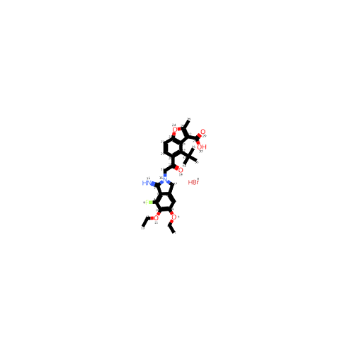 Br.CCOc1cc2c(c(F)c1OCC)C(=N)N(CC(=O)c1ccc3oc(C)c(C(=O)O)c3c1C(C)(C)C)C2